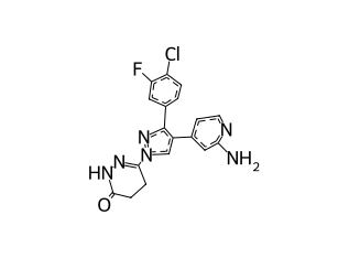 Nc1cc(-c2cn(C3=NNC(=O)CC3)nc2-c2ccc(Cl)c(F)c2)ccn1